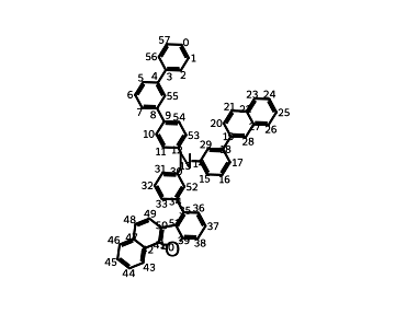 c1ccc(-c2cccc(-c3ccc(N(c4cccc(-c5ccc6ccccc6c5)c4)c4cccc(-c5cccc6oc7c8ccccc8ccc7c56)c4)cc3)c2)cc1